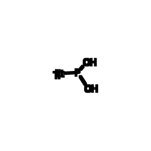 CCP(O)O.[Ti]